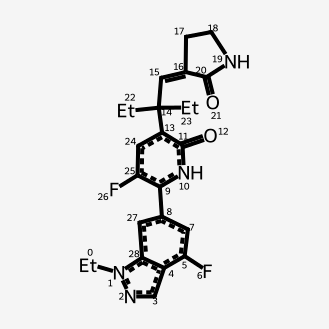 CCn1ncc2c(F)cc(-c3[nH]c(=O)c(C(C=C4CCNC4=O)(CC)CC)cc3F)cc21